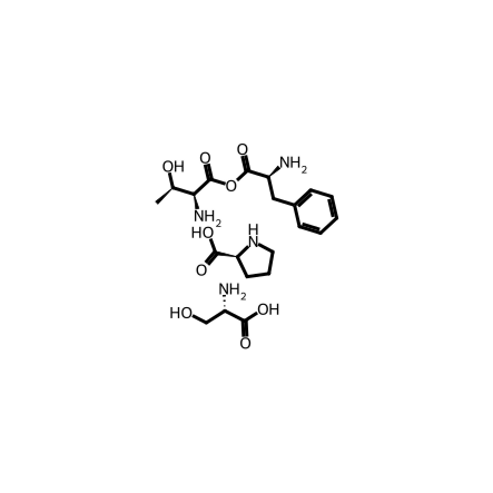 C[C@@H](O)[C@H](N)C(=O)OC(=O)[C@@H](N)Cc1ccccc1.N[C@@H](CO)C(=O)O.O=C(O)[C@@H]1CCCN1